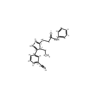 CCn1c(SCC(=O)Nc2ccccc2)nnc1-c1ccnc(C#N)c1